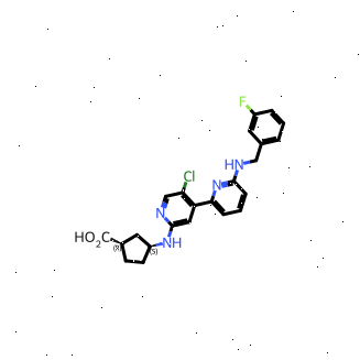 O=C(O)[C@@H]1CC[C@H](Nc2cc(-c3cccc(NCc4cccc(F)c4)n3)c(Cl)cn2)C1